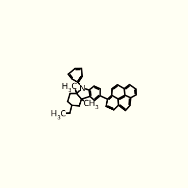 CCC1CCC2(C)N(c3ccccc3)c3ccc(-c4ccc5ccc6cccc7ccc4c5c67)cc3C2(C)C1